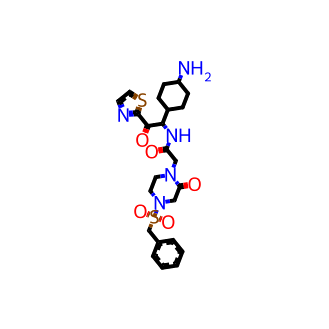 NC1CCC(C(NC(=O)CN2CCN(S(=O)(=O)Cc3ccccc3)CC2=O)C(=O)c2nccs2)CC1